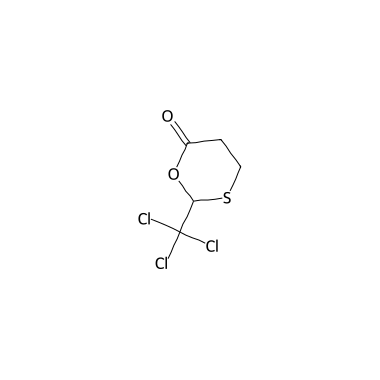 O=C1CCSC(C(Cl)(Cl)Cl)O1